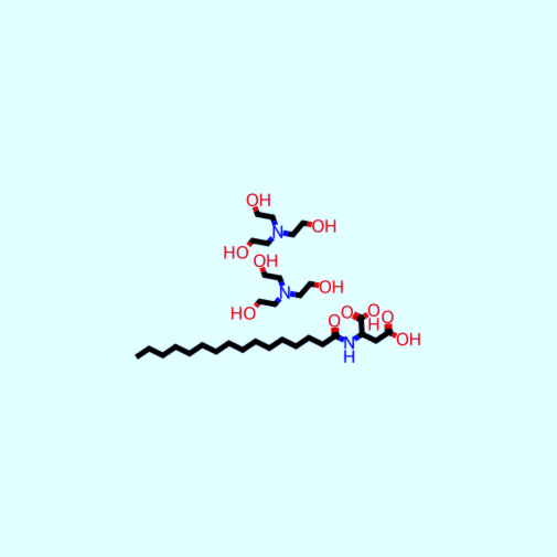 CCCCCCCCCCCCCCCC(=O)NC(CC(=O)O)C(=O)O.OCCN(CCO)CCO.OCCN(CCO)CCO